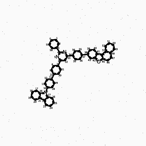 c1ccc(-c2nc(-c3ccc(-c4ccc(-n5c6ccccc6c6ccccc65)cc4)cc3)cc(-c3ccc(-c4ccc5c(c4)oc4ccc6ccccc6c45)cc3)n2)cc1